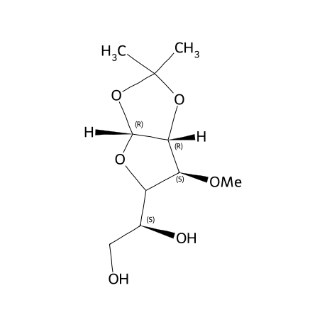 CO[C@H]1C([C@@H](O)CO)O[C@@H]2OC(C)(C)O[C@@H]21